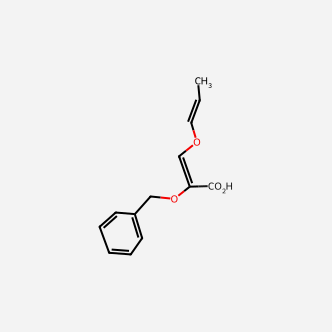 CC=COC=C(OCc1ccccc1)C(=O)O